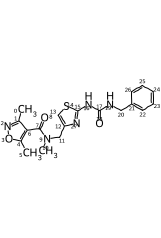 Cc1noc(C)c1C(=O)N(C)Cc1csc(NC(=O)NCc2ccccc2)n1